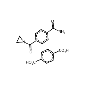 NC(=O)c1ccc(C(=O)N2CC2)cc1.O=C(O)c1ccc(C(=O)O)cc1